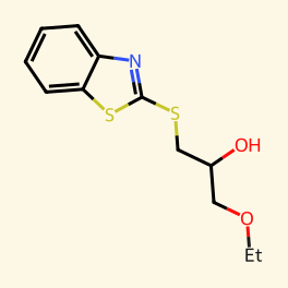 CCOCC(O)CSc1nc2ccccc2s1